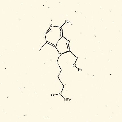 CCCC[S+]([O-])CCCCn1c(COCC)nc2c(N)ncc(C)c21